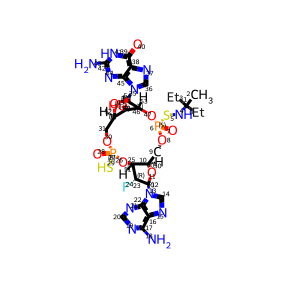 CCC(C)(CC)NS[P@@]1(=O)OC[C@H]2O[C@@H](n3cnc4c(N)ncnc43)[C@H](F)[C@@H]2O[P@](=O)(S)OC[C@H]2O[C@@H](n3cnc4c(=O)[nH]c(N)nc43)[C@H](O1)[C@@H]2O